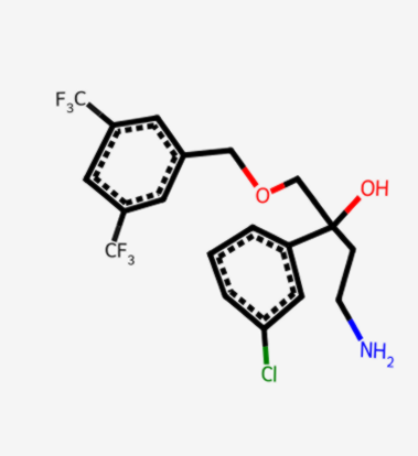 NCCC(O)(COCc1cc(C(F)(F)F)cc(C(F)(F)F)c1)c1cccc(Cl)c1